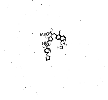 COC(=O)C(Cc1ccc2c(N)nccc2c1F)N1CCC(NS(=O)(=O)c2ccc(N3CCCC3)nc2)C1=O.Cl